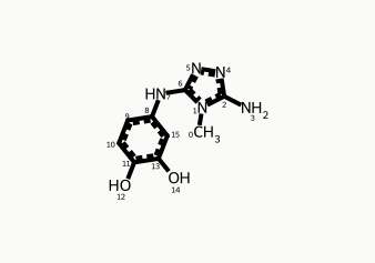 Cn1c(N)nnc1Nc1ccc(O)c(O)c1